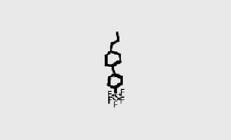 CCCC1CC=C(c2ccc(S(F)(F)(F)(F)F)cc2)CC1